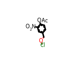 CC(=O)Oc1ccc(COCl)cc1[N+](=O)[O-]